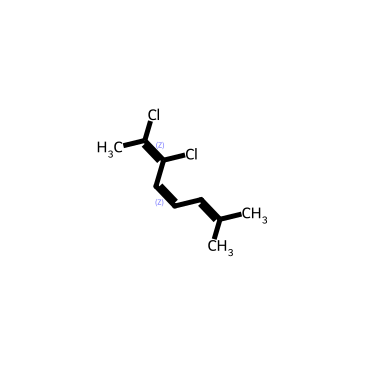 CC(C)=C/C=C\C(Cl)=C(/C)Cl